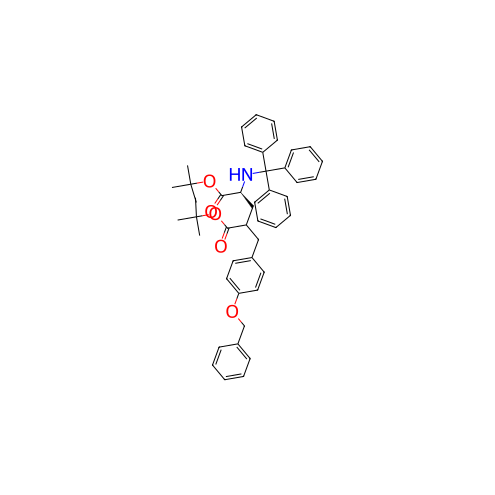 CC(C)(C)OC(=O)C(Cc1ccc(OCc2ccccc2)cc1)C[C@H](NC(c1ccccc1)(c1ccccc1)c1ccccc1)C(=O)OC(C)(C)C